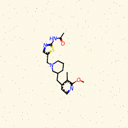 COc1nccc(CC2CCCN(Cc3cnc(NC(C)=O)s3)C2)c1C